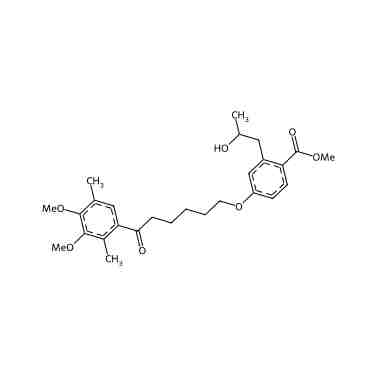 COC(=O)c1ccc(OCCCCCC(=O)c2cc(C)c(OC)c(OC)c2C)cc1CC(C)O